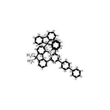 CC1(C)c2cccc(-c3nc(-c4ccccc4)nc(-c4ccc(-c5ccccc5)cc4)n3)c2-c2c1ccc1c2Oc2ccccc2C12c1ccccc1-c1ccccc12